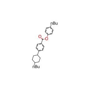 CCCCc1ccc(OC(=O)c2ccc(C3CCC(CCCC)CC3)cc2)cc1